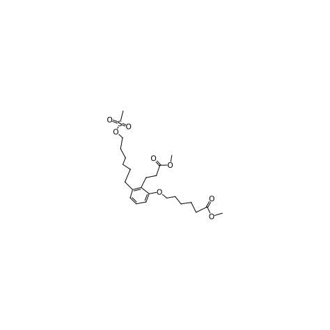 COC(=O)CCCCCOc1cccc(CCCCCCOS(C)(=O)=O)c1CCC(=O)OC